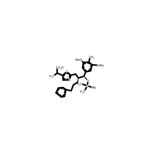 COc1cc([C@@H](O[Si](C)(C)C(C)(C)C)[C@@H](CCCc2ccccc2)Cc2ncc(C(C)C(=O)O)s2)cc(OC)c1C